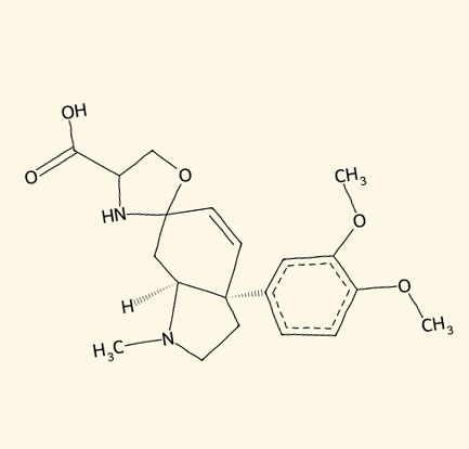 COc1ccc([C@@]23C=CC4(C[C@@H]2N(C)CC3)NC(C(=O)O)CO4)cc1OC